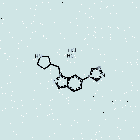 Cl.Cl.c1cc2cnn(CC3CCNC3)c2cc1-n1cnnc1